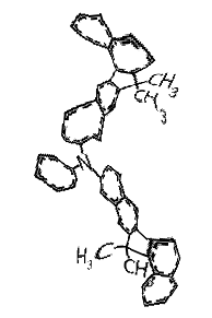 CC1(C)c2cc3cc(N(c4ccccc4)c4ccc5cc6c(cc5c4)C(C)(C)c4c-6ccc5ccccc45)ccc3cc2-c2c1ccc1ccccc21